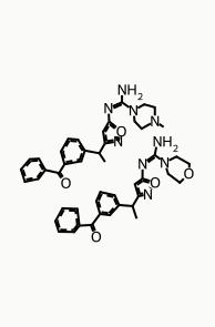 CC(c1cccc(C(=O)c2ccccc2)c1)c1cc(N=C(N)N2CCN(C)CC2)on1.CC(c1cccc(C(=O)c2ccccc2)c1)c1cc(N=C(N)N2CCOCC2)on1